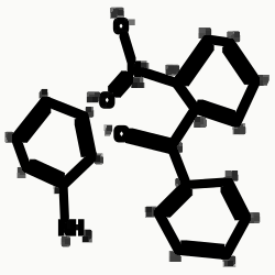 Nc1ccccc1.O=C(c1ccccc1)c1ccccc1[N+](=O)[O-]